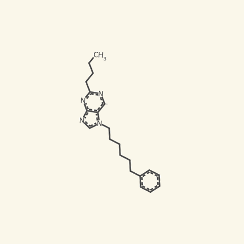 CCCCc1n[c]c2c(ncn2CCCCCCc2ccccc2)n1